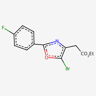 CCOC(=O)Cc1nc(-c2ccc(F)cc2)oc1Br